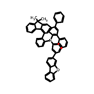 CC1(C)c2ccccc2-c2c(-c3ccccc3N(c3cccc(-c4ccc5c(c4)oc4ccccc45)c3)c3ccc(-c4ccccc4)cc3-c3ccccc3)cccc21